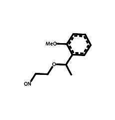 COc1ccccc1C(C)OCCN=O